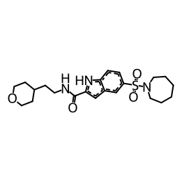 O=C(NCCC1CCOCC1)c1cc2cc(S(=O)(=O)N3CCCCCC3)ccc2[nH]1